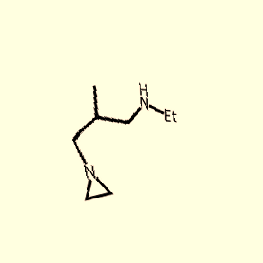 CCNCC(C)CN1CC1